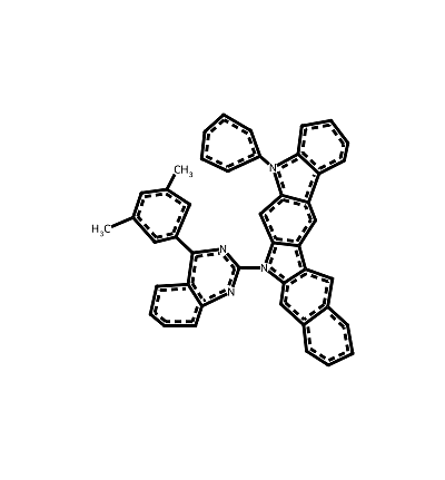 Cc1cc(C)cc(-c2nc(-n3c4cc5ccccc5cc4c4cc5c6ccccc6n(-c6ccccc6)c5cc43)nc3ccccc23)c1